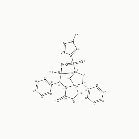 Cn1cnc(S(=O)(=O)N2C[C@H](c3ccccc3)[C@]3(COC(=O)N3C(c3ccccc3)C(F)(F)F)C2)c1